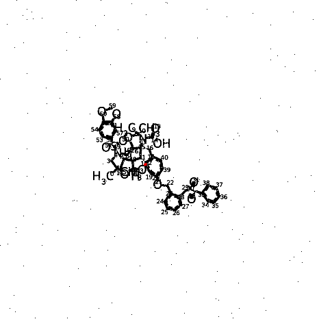 CC(C)CN(C[C@H]1OC(C)(C)N(C(=O)O)[C@@]1(Cc1ccc(OCc2ccccc2CS(=O)(=O)c2ccccc2)cc1)[C@@H]1CO[C@H]2OCC[C@H]21)S(=O)(=O)c1ccc2c(c1)OCO2